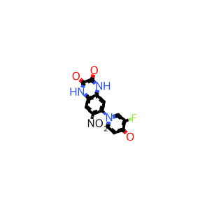 O=c1ccn(-c2cc3[nH]c(=O)c(=O)[nH]c3cc2[N+](=O)[O-])cc1F